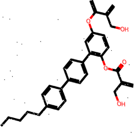 C=C(CO)C(=C)Oc1ccc(OC(=O)C(=C)CO)c(-c2ccc(-c3ccc(CCCCC)cc3)cc2)c1